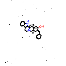 CCCC12C[C@@H]3C[C@H](O)C(=Cc4ccccc4)C[C@H]3CN1CCc1c2[nH]c2ccccc12